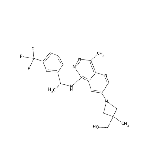 Cc1nnc(N[C@H](C)c2cccc(C(F)(F)F)c2)c2cc(N3CC(C)(CO)C3)cnc12